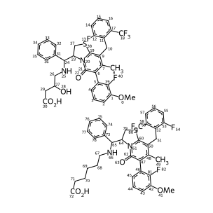 COc1cccc(-c2c(C)c(Cc3c(F)cccc3C(F)(F)F)c3n(c2=O)C(C(NCC(O)CC(=O)O)c2ccccc2)CS3)c1F.COc1cccc(-c2c(C)c(Cc3c(F)cccc3C(F)(F)F)c3n(c2=O)C(C(NCCCCCC(=O)O)c2ccccc2)CS3)c1F